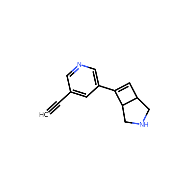 C#Cc1cncc(C2=CC3CNCC23)c1